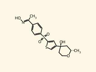 CC(=NO)c1ccc(S(=O)(=O)c2cc([C@@]3(O)CCO[C@@H](C)C3)cs2)cc1